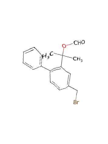 CC(C)(OC=O)c1cc(CBr)ccc1-c1ccccc1